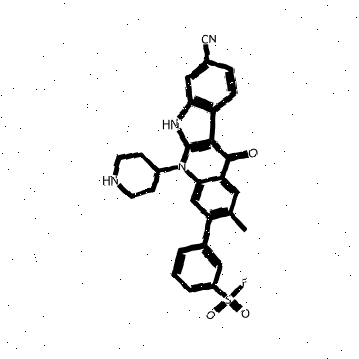 Cc1cc2c(=O)c3c4ccc(C#N)cc4[nH]c3n(C3CCNCC3)c2cc1-c1cccc(S(=O)(=O)F)c1